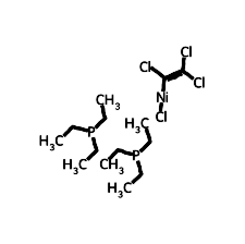 CCP(CC)CC.CCP(CC)CC.[Cl][Ni][C](Cl)=C(Cl)Cl